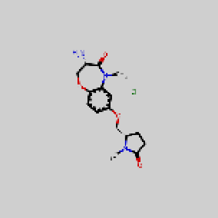 CN1C(=O)[C@@H](N)COc2ccc(OC[C@@H]3CCC(=O)N3C)cc21.Cl